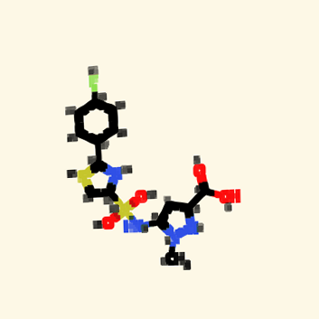 Cn1nc(C(=O)O)cc1NS(=O)(=O)c1csc(-c2ccc(F)cc2)n1